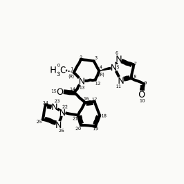 C[C@@H]1CC[C@@H](n2ncc(C=O)n2)CN1C(=O)c1ccccc1-n1nccn1